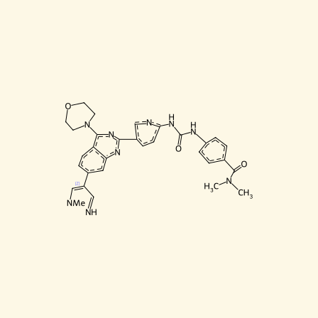 CN/C=C(\C=N)c1ccc2c(N3CCOCC3)nc(-c3ccc(NC(=O)Nc4ccc(C(=O)N(C)C)cc4)nc3)nc2c1